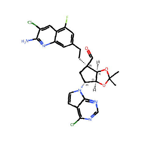 CC1(C)O[C@H]2[C@H](n3ccc4c(Cl)ncnc43)C[C@](C=O)(CCc3cc(F)c4cc(Cl)c(N)nc4c3)[C@H]2O1